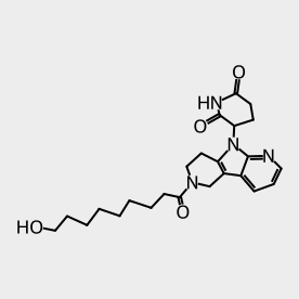 O=C1CCC(n2c3c(c4cccnc42)CN(C(=O)CCCCCCCCO)CC3)C(=O)N1